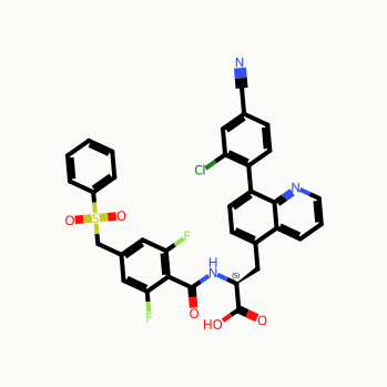 N#Cc1ccc(-c2ccc(C[C@H](NC(=O)c3c(F)cc(CS(=O)(=O)c4ccccc4)cc3F)C(=O)O)c3cccnc23)c(Cl)c1